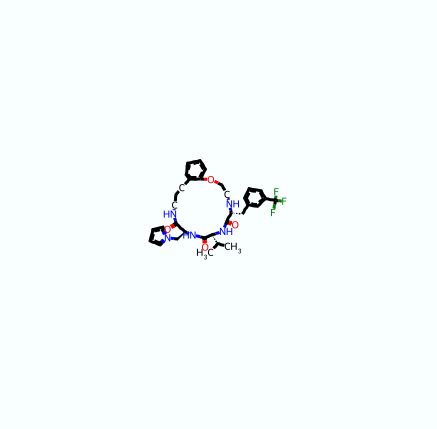 CC(C)[C@H]1NC(=O)[C@@H](Cc2cccc(C(F)(F)F)c2)NCCOc2ccccc2CCCNC(=O)[C@H](Cn2cccc2)NC1=O